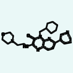 O=c1c(NCCN2CCOCC2)nc2ccc(-c3cccnc3)nc2n1CC1CCCCC1